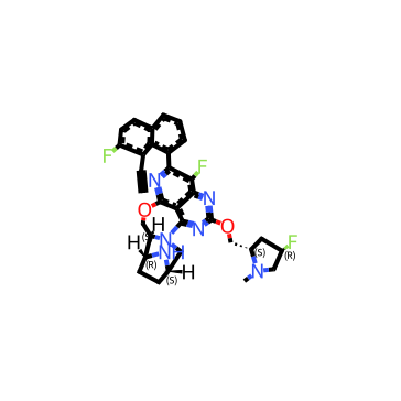 C#Cc1c(F)ccc2cccc(-c3nc4c5c(nc(OC[C@@H]6C[C@@H](F)CN6C)nc5c3F)N3C[C@@H]5CC[C@@H](N5)[C@H]3CO4)c12